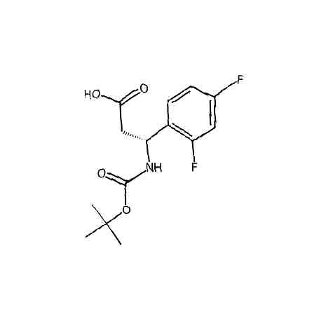 CC(C)(C)OC(=O)N[C@H](CC(=O)O)c1ccc(F)cc1F